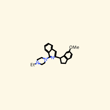 CCN1CCN(c2nc(C3CCc4ccc(OC)cc43)cc3ccccc23)CC1